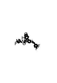 O=C(NCc1ccnc(F)c1)n1c2c(c3cc4c(cc31)COC4)CN(C/C=C/c1ccc(F)c(F)c1)CC2